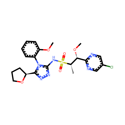 COc1ccccc1-n1c(NS(=O)(=O)[C@@H](C)[C@H](OC)c2ncc(Cl)cn2)nnc1[C@@H]1CCCO1